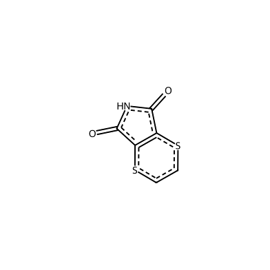 O=c1[nH]c(=O)c2sccsc1=2